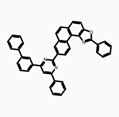 c1ccc(-c2cccc(-c3cc(-c4ccccc4)nc(-c4ccc5c(ccc6ccc7oc(-c8ccccc8)nc7c65)c4)n3)c2)cc1